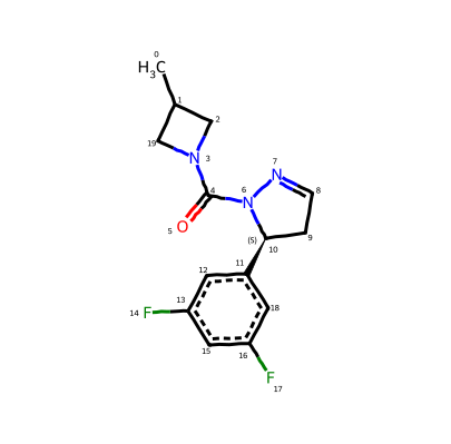 CC1CN(C(=O)N2N=CC[C@H]2c2cc(F)cc(F)c2)C1